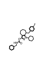 O=C(NCc1ccccc1)Oc1nn(C2CCCCC2)c2c1CCCCC2Cc1ccc(F)cc1